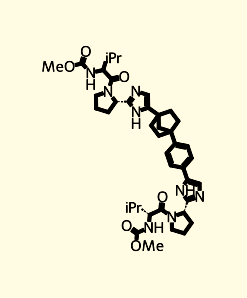 COC(=O)NC(C(=O)N1CCC[C@H]1c1ncc(C23CCC(c4ccc(-c5cnc([C@@H]6CCCN6C(=O)[C@H](NC(=O)OC)C(C)C)[nH]5)cc4)(CC2)C3)[nH]1)C(C)C